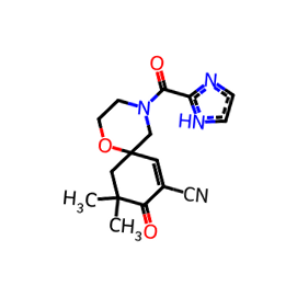 CC1(C)CC2(C=C(C#N)C1=O)CN(C(=O)c1ncc[nH]1)CCO2